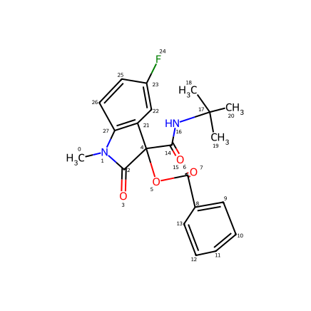 CN1C(=O)C(OC(=O)c2ccccc2)(C(=O)NC(C)(C)C)c2cc(F)ccc21